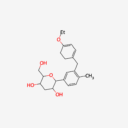 CCOC1=CC=C(Cc2cc(C3OC(CO)C(O)CC3O)ccc2C)CC1